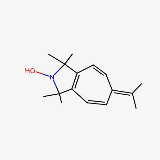 CC(C)=C1C=CC2=C(C=C1)C(C)(C)N(O)C2(C)C